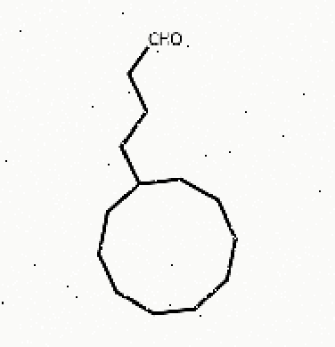 O=CCCCC1CCCCCCCCC1